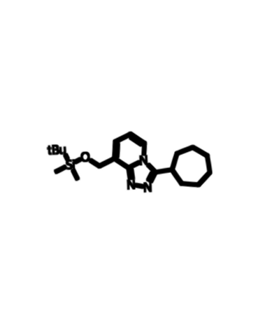 CC(C)(C)[Si](C)(C)OCc1cccn2c(C3CCCCCC3)nnc12